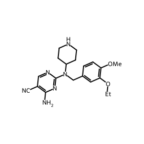 CCOc1cc(CN(c2ncc(C#N)c(N)n2)C2CCNCC2)ccc1OC